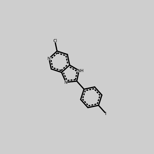 Clc1cc2[nH]c(-c3ccc(I)cc3)nc2cn1